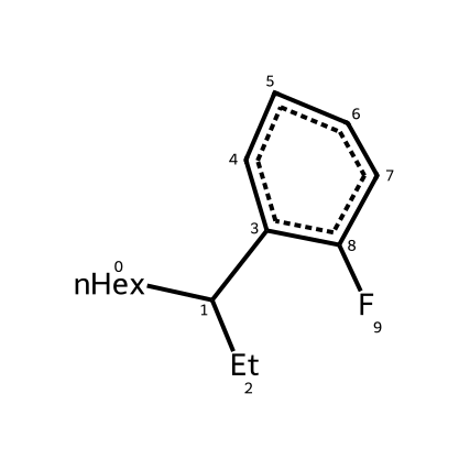 CCCCCCC(CC)c1ccccc1F